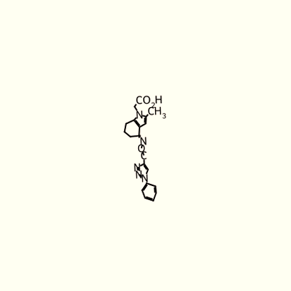 Cc1cc2c(n1CC(=O)O)CCCC2=NOCc1cn(-c2ccccc2)nn1